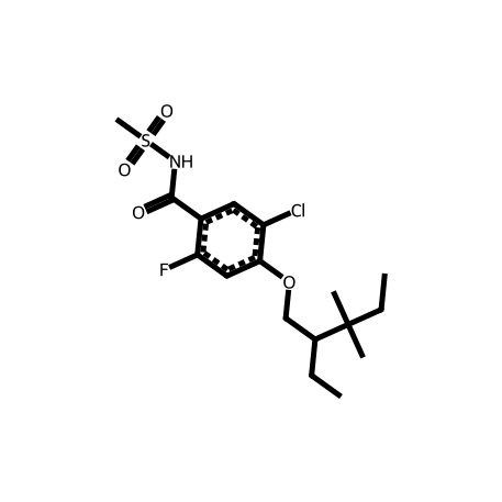 CCC(COc1cc(F)c(C(=O)NS(C)(=O)=O)cc1Cl)C(C)(C)CC